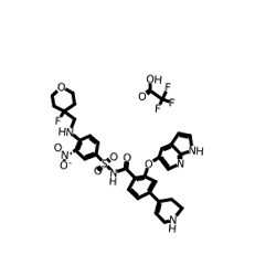 O=C(NS(=O)(=O)c1ccc(NCC2(F)CCOCC2)c([N+](=O)[O-])c1)c1ccc(C2=CCNCC2)cc1Oc1cnc2[nH]ccc2c1.O=C(O)C(F)(F)F